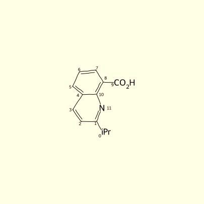 CC(C)c1ccc2cccc(C(=O)O)c2n1